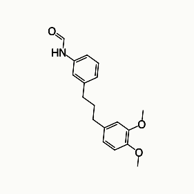 COc1ccc(CCCc2cccc(NC=O)c2)cc1OC